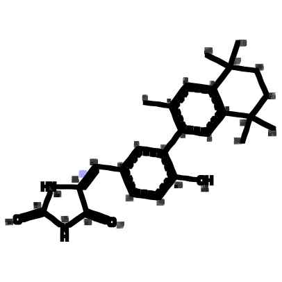 Cc1cc2c(cc1-c1cc(/C=C3/NC(=O)NC3=O)ccc1O)C(C)(C)CCC2(C)C